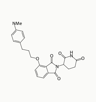 CNc1ccc(CCCOc2cccc3c2C(=O)N(C2CCC(=O)NC2=O)C3=O)cc1